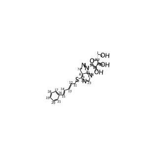 OC[C@H]1O[C@@H](n2ncc3c(SCC=CC=Cc4ccccc4)ncnc32)[C@H](O)[C@@H]1O